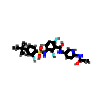 CC(=O)Nc1ccc(NC(=O)c2c(F)ccc(NS(=O)(=O)c3ccc(C(C)(C)C)cc3F)c2F)cn1